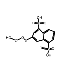 O=S(=O)(O)c1cc(SOOO)cc2c(S(=O)(=O)O)cccc12